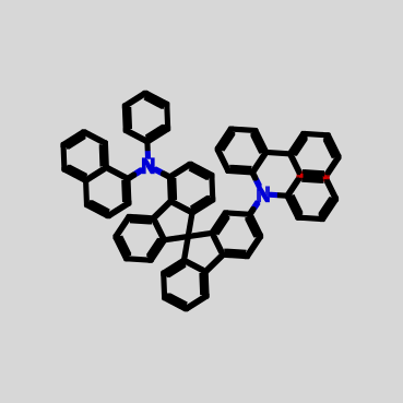 c1ccc(-c2ccccc2N(c2ccccc2)c2ccc3c(c2)C2(c4ccccc4-3)c3ccccc3-c3c(N(c4ccccc4)c4cccc5ccccc45)cccc32)cc1